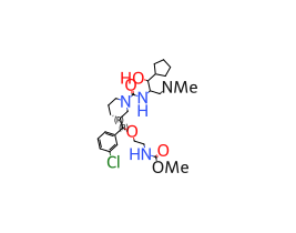 CNCC(NC(=O)N1CCC[C@@H]([C@@H](OCCNC(=O)OC)c2cccc(Cl)c2)C1)C(O)C1CCCC1